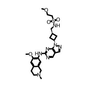 COCCS(=O)(=O)NC[C@H]1C[C@H](n2ncc3cnc(Nc4cc5c(cc4OC)CCN(C)C5)nc32)C1